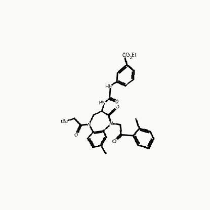 CCOC(=O)c1cccc(NC(=O)NC2CN(C(=O)CC(C)(C)C)c3ccc(C)cc3N(CC(=O)c3ccccc3C)C2=O)c1